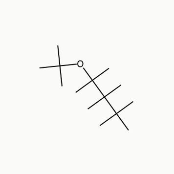 CC(C)(C)OC(C)(C)C(C)(C)C(C)(C)C